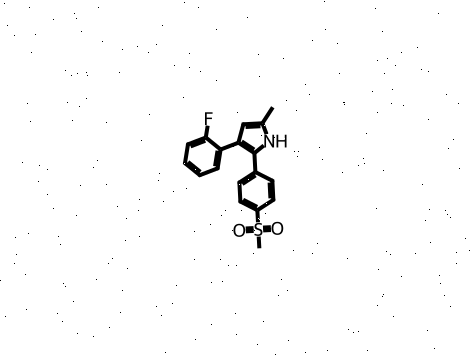 Cc1cc(-c2ccccc2F)c(-c2ccc(S(C)(=O)=O)cc2)[nH]1